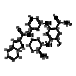 NC(=O)c1cc(F)c(NC2CCCC[C@@H]2N)nc1Nc1cncc(NC(=O)c2cc3ccccc3s2)c1